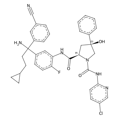 N#Cc1cccc(C(N)(CCC2CC2)c2ccc(F)c(NC(=O)[C@H]3C[C@](O)(c4ccccc4)CN3C(=O)Nc3ccc(Cl)cn3)c2)c1